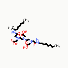 CCCCCCCCNC(=O)CN(CCN(CCN(CC(=O)O)CC(=O)NC(C)CCCCCC)CC(=O)O)CC(=O)O